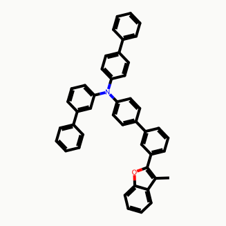 Cc1c(-c2cccc(-c3ccc(N(c4ccc(-c5ccccc5)cc4)c4cccc(-c5ccccc5)c4)cc3)c2)oc2ccccc12